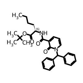 CCCC[C@H](NC(=O)c1cccn(C(c2ccccc2)c2ccccc2)c1=O)C(=O)OC(C)(C)C